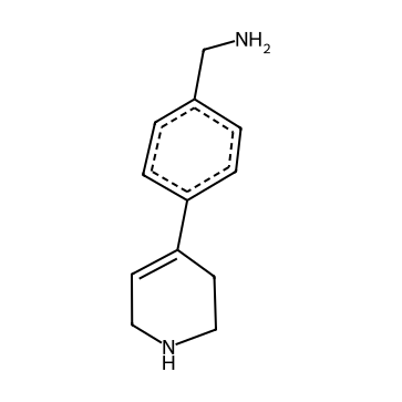 NCc1ccc(C2=CCNCC2)cc1